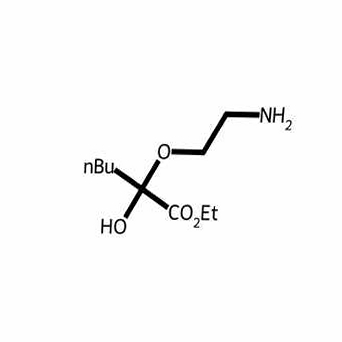 CCCCC(O)(OCCN)C(=O)OCC